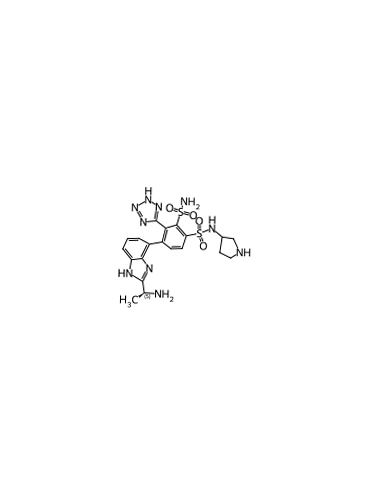 C[C@H](N)c1nc2c(-c3ccc(S(=O)(=O)NC4CCNC4)c(S(N)(=O)=O)c3-c3nn[nH]n3)cccc2[nH]1